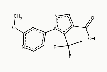 COc1cc(-n2ncc(C(=O)O)c2C(F)(F)F)ccn1